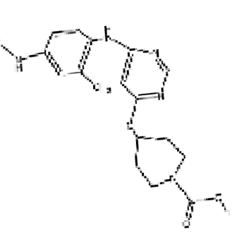 CCCNc1ccc(Nc2cc(OC3CCN(C(=O)OC(C)C)CC3)ncn2)c(C)c1